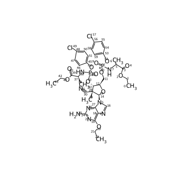 CCOC(=O)[C@H](C)NP(=O)(OC[C@H]1O[C@@H](n2cnc3c(OCC)nc(N)nc32)[C@](C)(C#N)[C@@H]1OP(=O)(N[C@@H](C)C(=O)OCC)Oc1ccc(Cl)cc1)Oc1ccc(Cl)cc1